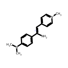 CN(C)c1ccc(/C(N)=C/c2cc[n+](C)cc2)cc1